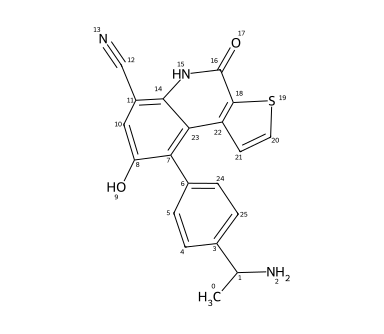 CC(N)c1ccc(-c2c(O)cc(C#N)c3[nH]c(=O)c4sccc4c23)cc1